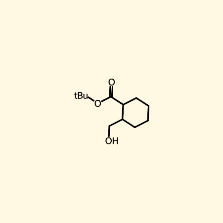 CC(C)(C)OC(=O)C1CCCCC1CO